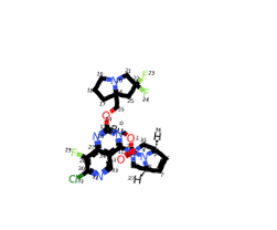 CC(C)(C)OC(=O)N1[C@@H]2C=C[C@H]1CN(c1nc(OCC34CCCN3CC(F)(F)C4)nc3c(F)c(Cl)ncc13)C2